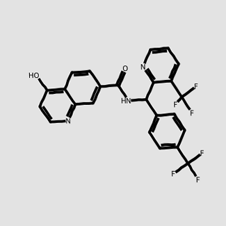 O=C(NC(c1ccc(C(F)(F)F)cc1)c1ncccc1C(F)(F)F)c1ccc2c(O)ccnc2c1